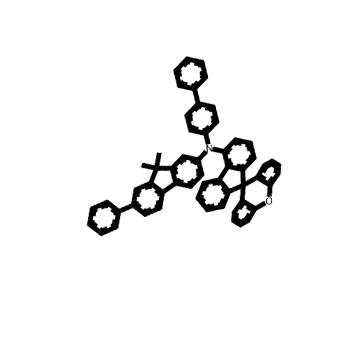 CC1(C)c2cc(-c3ccccc3)ccc2-c2ccc(N(c3ccc(-c4ccccc4)cc3)c3cccc4c3-c3ccccc3C43c4ccccc4Oc4ccccc43)cc21